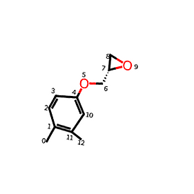 Cc1ccc(OC[C@@H]2CO2)cc1C